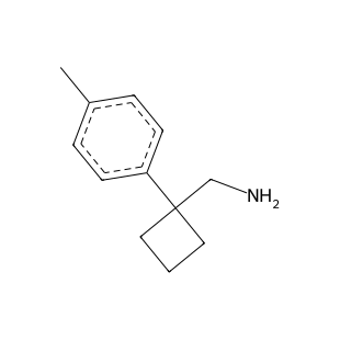 Cc1ccc(C2(CN)CCC2)cc1